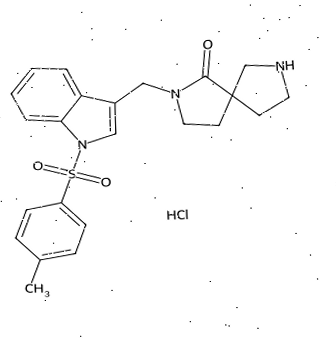 Cc1ccc(S(=O)(=O)n2cc(CN3CCC4(CCNC4)C3=O)c3ccccc32)cc1.Cl